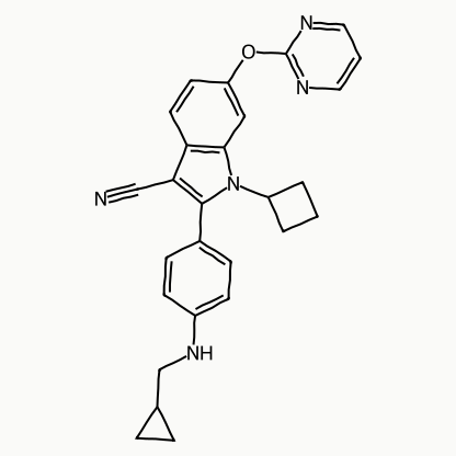 N#Cc1c(-c2ccc(NCC3CC3)cc2)n(C2CCC2)c2cc(Oc3ncccn3)ccc12